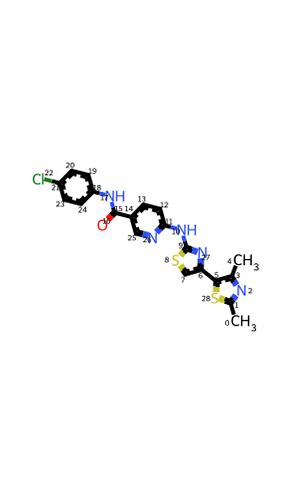 Cc1nc(C)c(-c2csc(Nc3ccc(C(=O)Nc4ccc(Cl)cc4)cn3)n2)s1